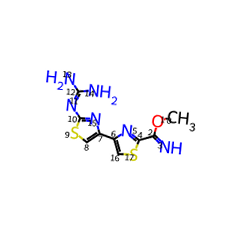 COC(=N)c1nc(-c2csc(N=C(N)N)n2)cs1